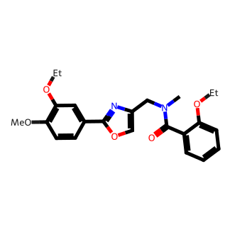 CCOc1cc(-c2nc(CN(C)C(=O)c3ccccc3OCC)co2)ccc1OC